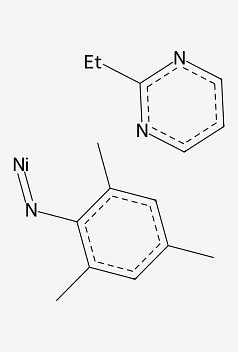 CCc1ncccn1.Cc1cc(C)c([N]=[Ni])c(C)c1